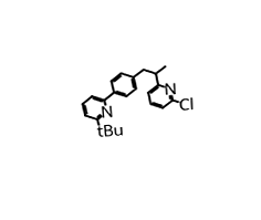 CC(Cc1ccc(-c2cccc(C(C)(C)C)n2)cc1)c1cccc(Cl)n1